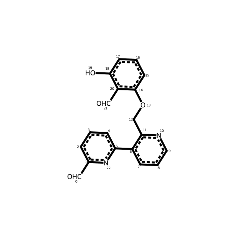 O=Cc1cccc(-c2cccnc2COc2cccc(O)c2C=O)n1